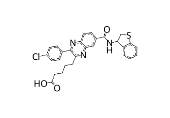 O=C(O)CCCCc1nc2cc(C(=O)NC3CSc4ccccc43)ccc2nc1-c1ccc(Cl)cc1